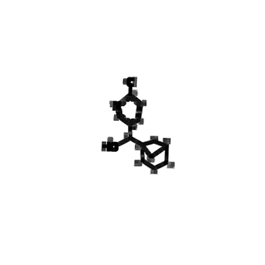 OC(c1ccc(Cl)nc1)C12CCCC(C1)C2